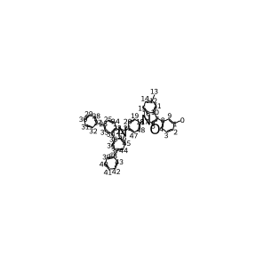 Cc1ccc2oc3c(c2c1)c1cc(C)ccc1n3-c1ccc(-n2c3ccc(-c4ccccc4)cc3c3cc(-c4ccccc4)ccc32)cc1